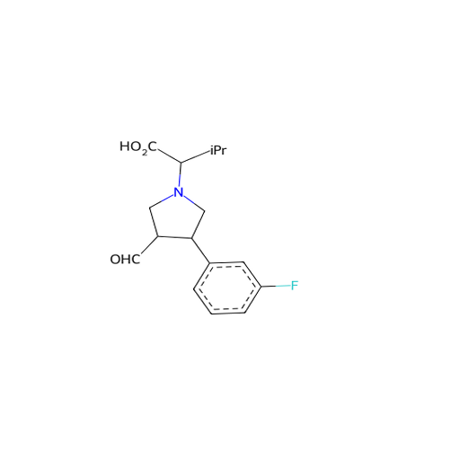 CC(C)C(C(=O)O)N1CC(C=O)C(c2cccc(F)c2)C1